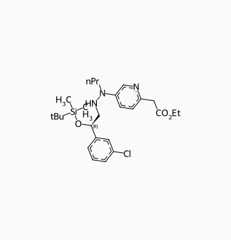 CCCN(NC[C@H](O[Si](C)(C)C(C)(C)C)c1cccc(Cl)c1)c1ccc(CC(=O)OCC)nc1